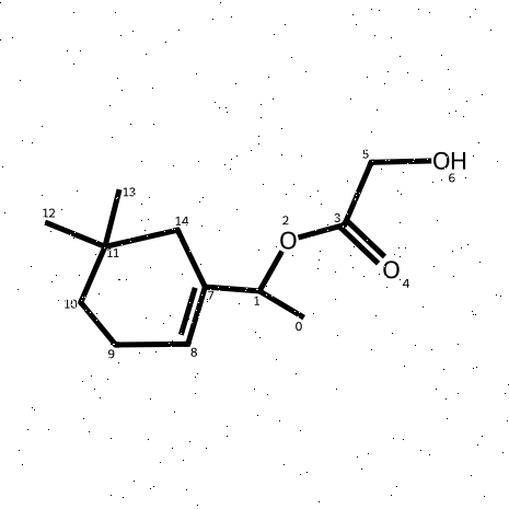 CC(OC(=O)CO)C1=CCCC(C)(C)C1